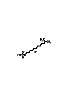 CC(C)CCCCCCCCCCOP(=O)([O-])O.[K+]